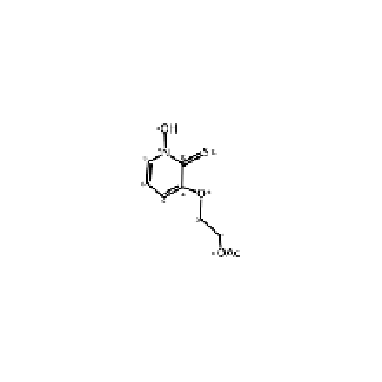 CC(=O)OCCOc1cccn(O)c1=S